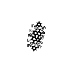 CC(C)c1cccc(C(C)C)c1N1C(=O)c2c(Br)c(Br)c3c4c(Br)c(Br)c5c6c(c(Br)c(Br)c(c7c(Br)c(Br)c(c2c37)C1=O)c64)C(=O)N(c1c(C(C)C)cccc1C(C)C)C5=O